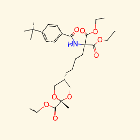 CCOC(=O)C(CCCC[C@H]1CO[C@@](C)(C(=O)OCC)OC1)(NC(=O)c1ccc(C(C)(C)C)cc1)C(=O)OCC